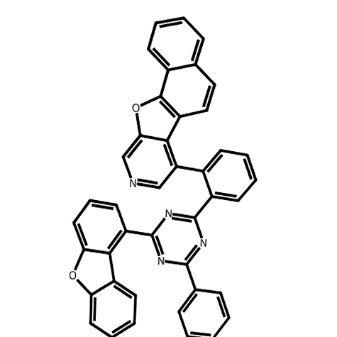 c1ccc(-c2nc(-c3ccccc3-c3cncc4oc5c6ccccc6ccc5c34)nc(-c3cccc4oc5ccccc5c34)n2)cc1